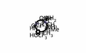 CO[C@H]1C[C@H](C)Cc2cc(cc(O)c2C(F)(F)F)NC(=O)/C(C)=C/CC[C@H](OC)[C@@H](OC(N)=O)/C(C)=C/[C@H](C)[C@H]1O